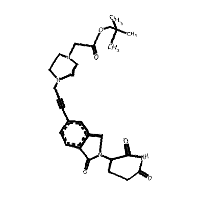 CC(C)(C)OC(=O)CN1CCN(CC#Cc2ccc3c(c2)CN(C2CCC(=O)NC2=O)C3=O)CC1